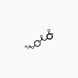 NOC1CCN(C(=O)Cc2ccnc(Cl)c2)CC1